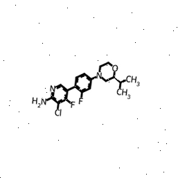 CC(C)[C@H]1CN(c2ccc(-c3cnc(N)c(Cl)c3F)c(F)c2)CCO1